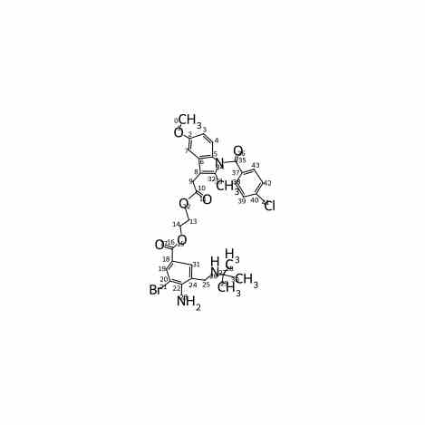 COc1ccc2c(c1)c(CC(=O)OCCOC(=O)c1cc(Br)c(N)c(CNC(C)(C)C)c1)c(C)n2C(=O)c1ccc(Cl)cc1